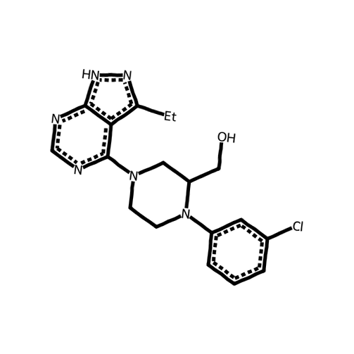 CCc1n[nH]c2ncnc(N3CCN(c4cccc(Cl)c4)C(CO)C3)c12